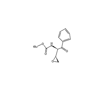 CC(C)(C)OC(=O)N[C@@H](C(=O)c1ccccc1)[C@H]1CO1